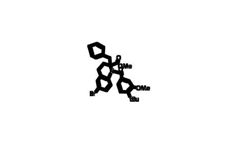 COC(=O)C1(Cc2ccccc2)CCc2cc(Br)ccc2N1C(=O)c1ccc(C(C)(C)C)c(OC)c1